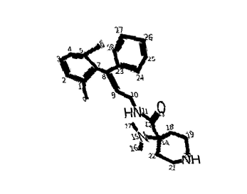 Cc1cccc(C)c1C(=CCNC(=O)C1(N(C)C)CCNCC1)c1ccccc1